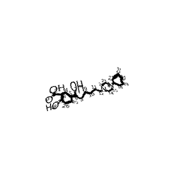 O=C(O)c1cc(C(O)CCCCCN2CCN(c3ccccc3)CC2)ccc1O